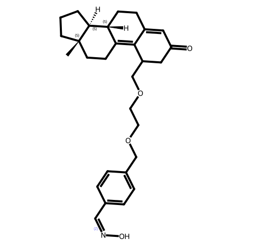 C[C@@]12CCC[C@H]1[C@@H]1CCC3=CC(=O)CC(COCCOCc4ccc(/C=N\O)cc4)C3=C1CC2